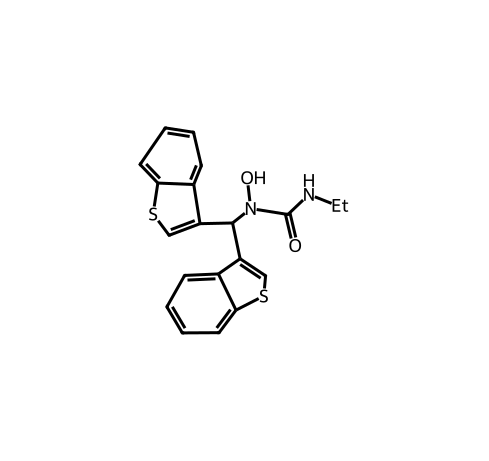 CCNC(=O)N(O)C(c1csc2ccccc12)c1csc2ccccc12